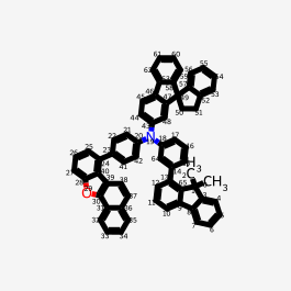 CC1(C)c2ccccc2-c2cccc(-c3cccc(N(c4ccc(-c5cccc6oc7c8ccccc8ccc7c56)cc4)c4ccc5c(c4)C4(CCc6ccccc64)c4ccccc4-5)c3)c21